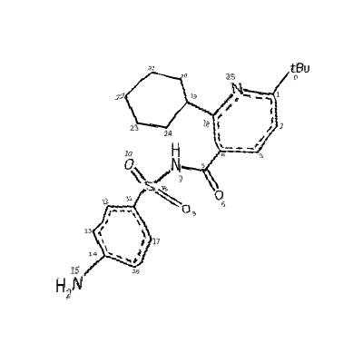 CC(C)(C)c1ccc(C(=O)NS(=O)(=O)c2ccc(N)cc2)c(C2CCCCC2)n1